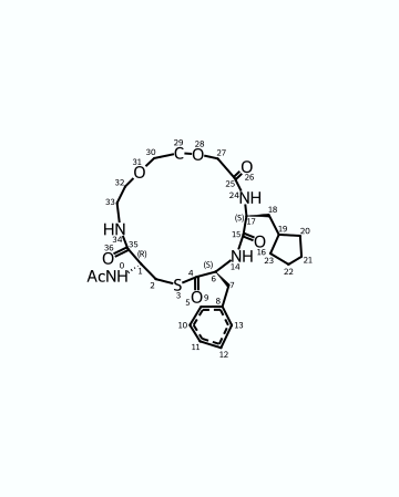 CC(=O)N[C@H]1CSC(=O)[C@H](Cc2ccccc2)NC(=O)[C@H](CC2CCCC2)NC(=O)COCCOCCNC1=O